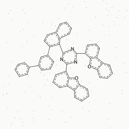 c1ccc(-c2cccc(-c3ccc4ccccc4c3-c3nc(-c4cccc5c4oc4ccccc45)nc(-c4cccc5c4oc4ccccc45)n3)c2)cc1